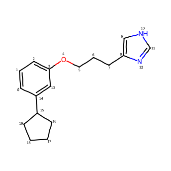 [c]1ccc(OCCCc2c[nH]cn2)cc1C1CCCC1